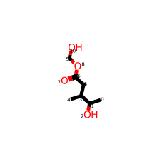 CC(O)C(C)CC(=O)OCO